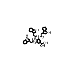 O=C(Cc1c[nH]c2ccccc12)Oc1cc(C(O)O)cc(OC(=O)Cc2c[nH]c3ccccc23)c1OC(=O)Cc1c[nH]c2ccccc12